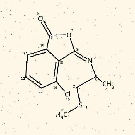 CSCC(C)/N=C1/OC(=O)c2cccc(Cl)c21